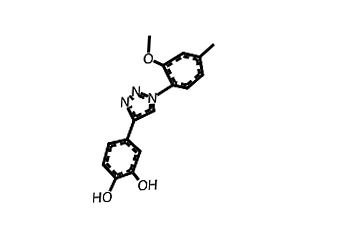 COc1cc(C)ccc1-n1cc(-c2ccc(O)c(O)c2)nn1